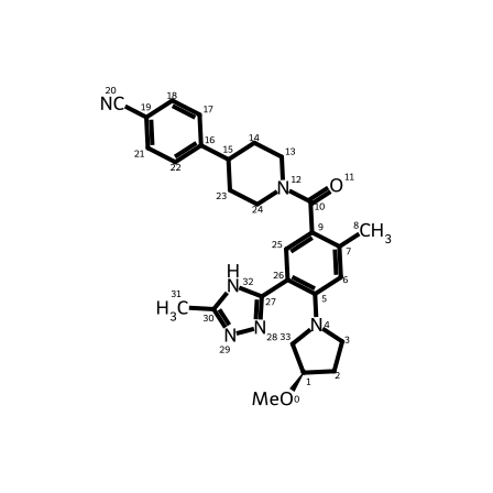 CO[C@@H]1CCN(c2cc(C)c(C(=O)N3CCC(c4ccc(C#N)cc4)CC3)cc2-c2nnc(C)[nH]2)C1